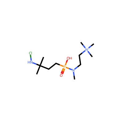 CN(CC[N+](C)(C)C)P(=O)(O)CCC(C)(C)NCl